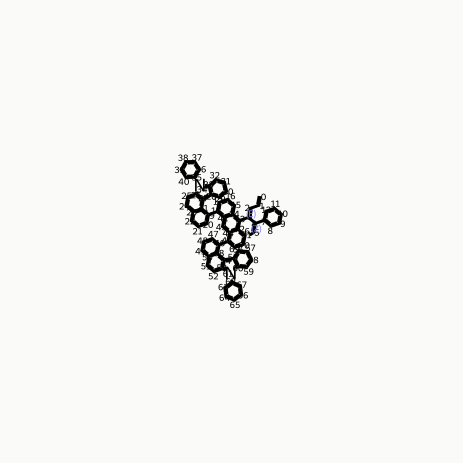 C=C/C=C(\C(=C/C)c1ccccc1)c1c2cccc(-c3cccc4ccc5c(c6ccccc6n5-c5ccccc5)c34)c2cc2c(-c3cccc4ccc5c(c6ccccc6n5-c5ccccc5)c34)cccc12